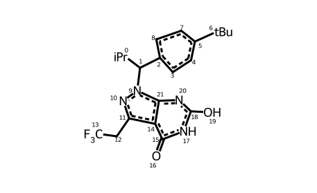 CC(C)C(c1ccc(C(C)(C)C)cc1)n1nc(CC(F)(F)F)c2c(=O)[nH]c(O)nc21